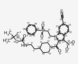 CC(C)(C)OC(=O)NCCC1CCN(C(=O)c2c([N+](=O)[O-])c3ccc(C#N)cc3n2CCS(=O)(=O)c2ccccc2)CC1